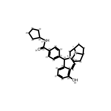 C=CCN1C2CCC1CN(C(c1ccc(C(=O)NC3CCCC3)cc1)c1cccc(O)c1)CC2